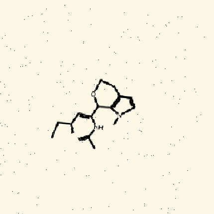 C=C(C)N/C(=C\C(C)CC)C1OCCc2ccn(C)c21